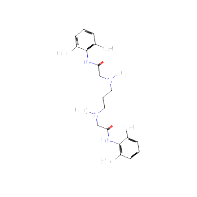 CCCN(CCCN(C)CC(=O)Nc1c(C)cccc1C)CC(=O)Nc1c(C)cccc1C